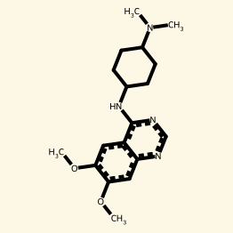 COc1cc2ncnc(NC3CCC(N(C)C)CC3)c2cc1OC